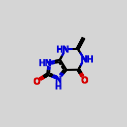 C=C1NC(=O)c2[nH]c(=O)[nH]c2N1